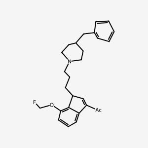 CC(=O)C1=CC(CCCN2CCC(Cc3ccccc3)CC2)c2c(OCF)cccc21